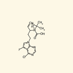 C=CC(CCn1cc(I)c2c(Cl)ncnc21)N(C(=O)O)C(C)(C)C